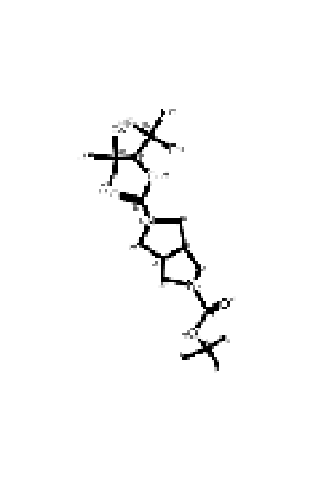 CC(C)(C)OC(=O)N1CC2CN(C(=O)OC(C(F)(F)F)C(F)(F)F)CC2C1